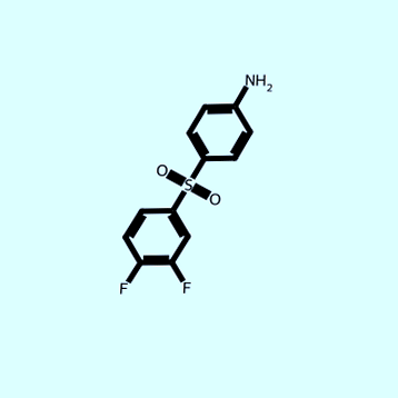 Nc1ccc(S(=O)(=O)c2ccc(F)c(F)c2)cc1